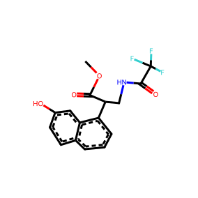 COC(=O)C(CNC(=O)C(F)(F)F)c1cccc2ccc(O)cc12